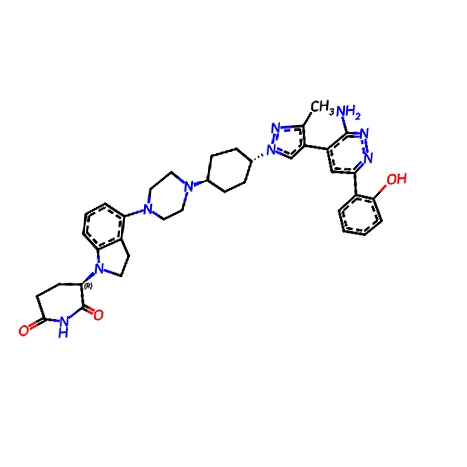 Cc1nn([C@H]2CC[C@H](N3CCN(c4cccc5c4CCN5[C@@H]4CCC(=O)NC4=O)CC3)CC2)cc1-c1cc(-c2ccccc2O)nnc1N